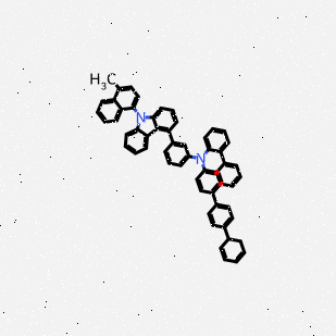 Cc1ccc(-n2c3ccccc3c3c(-c4cccc(N(c5ccc(-c6ccc(C7C=CC=CC7)cc6)cc5)c5ccccc5-c5ccccc5)c4)cccc32)c2ccccc12